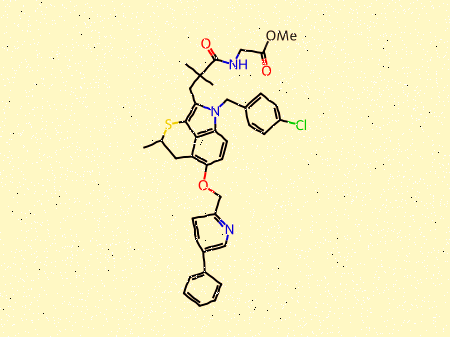 COC(=O)CNC(=O)C(C)(C)Cc1c2c3c(c(OCc4ccc(-c5ccccc5)cn4)ccc3n1Cc1ccc(Cl)cc1)CC(C)S2